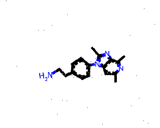 Cc1cc2c(nc(C)n2-c2ccc(CCN)cc2)c(C)n1